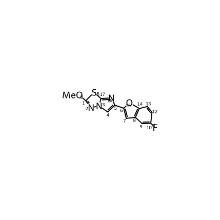 COc1nn2cc(-c3cc4cc(F)ccc4o3)nc2s1